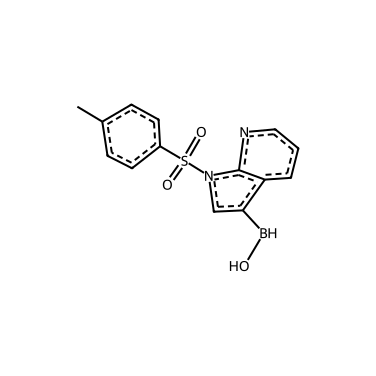 Cc1ccc(S(=O)(=O)n2cc(BO)c3cccnc32)cc1